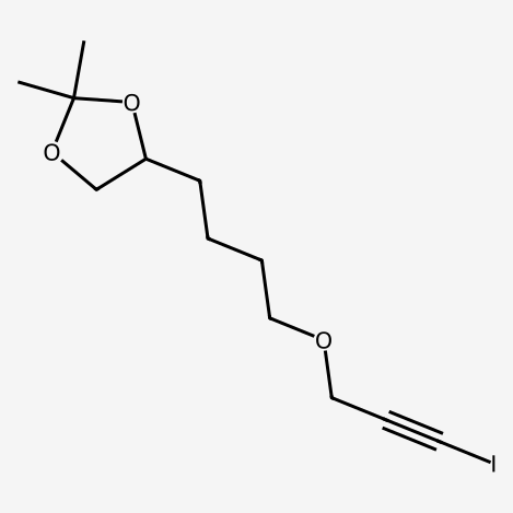 CC1(C)OCC(CCCCOCC#CI)O1